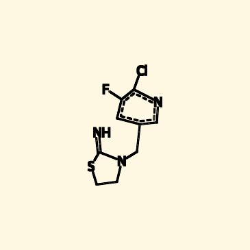 N=C1SCCN1Cc1cnc(Cl)c(F)c1